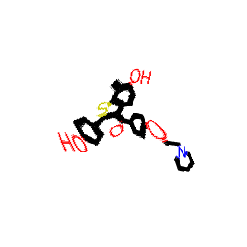 Cc1c(O)ccc2c(C(=O)c3ccc(OCCN4CCCCC4)cc3)c(-c3ccc(O)cc3)sc12